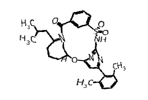 Cc1cccc(C)c1-c1cc2nc(n1)NS(=O)(=O)c1cccc(c1)C(=O)N1C[C@@H](CCCC1CC(C)C)O2